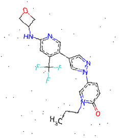 CCCn1cc(-n2cc(-c3cnc(NC4COC4)cc3C(F)(F)F)cn2)ccc1=O